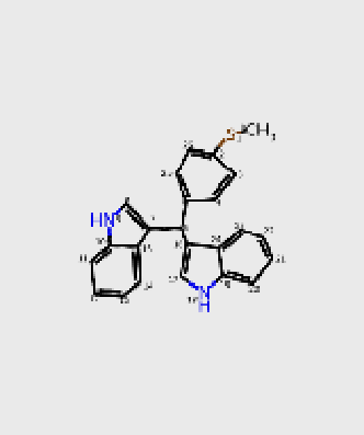 CSc1ccc(C(c2c[nH]c3ccccc23)c2c[nH]c3ccccc23)cc1